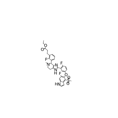 CCOC(=O)CCc1cccc(C2c3nc(-c4cc(Oc5c(F)cc6[nH]ccc6c5S(C)(=O)=O)ccc4F)[nH]c3CCN2C)c1F